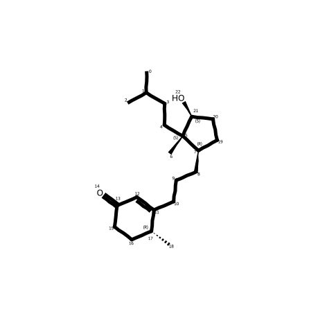 CC(C)CC[C@@]1(C)[C@H](CCCC2=CC(=O)CC[C@H]2C)CC[C@@H]1O